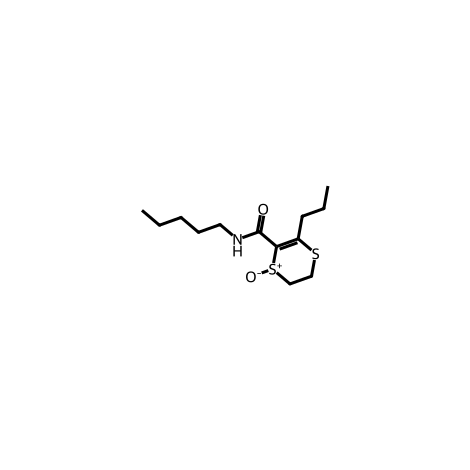 CCCCCNC(=O)C1=C(CCC)SCC[S+]1[O-]